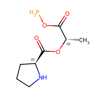 C[C@H](OC(=O)[C@@H]1CCCN1)C(=O)OP